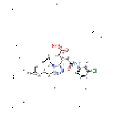 Cc1c(Cl)cccc1NC(=O)CC(CC(=O)O)c1nnc(CCCC(C)C)n1C1CC1